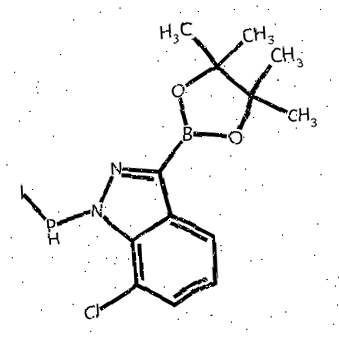 CC1(C)OB(c2nn(PI)c3c(Cl)cccc23)OC1(C)C